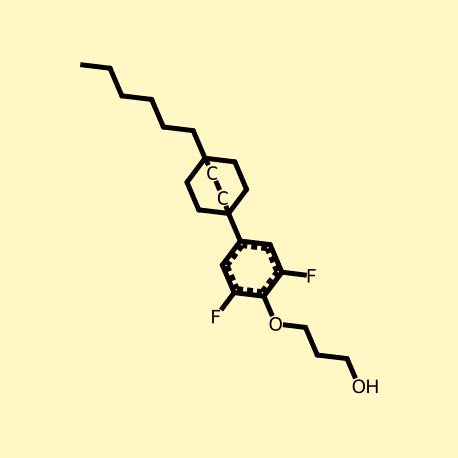 CCCCCCC12CCC(c3cc(F)c(OCCCO)c(F)c3)(CC1)CC2